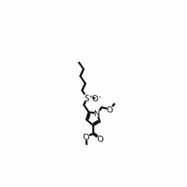 CCCCC[S+]([O-])Cc1cc(C(=O)OC)cn1COC